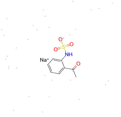 CC(=O)c1ccccc1NS(=O)(=O)[O-].[Na+]